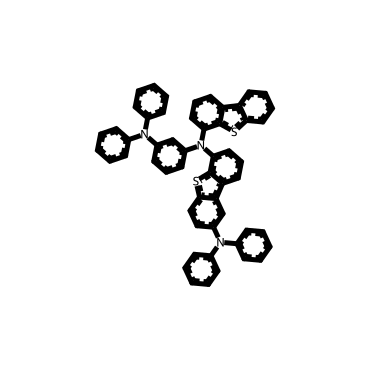 c1ccc(N(c2ccccc2)c2cccc(N(c3cccc4c3sc3ccccc34)c3cccc4c3sc3ccc(N(c5ccccc5)c5ccccc5)cc34)c2)cc1